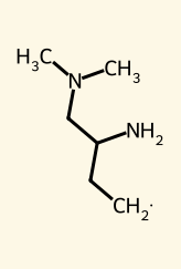 [CH2]CC(N)CN(C)C